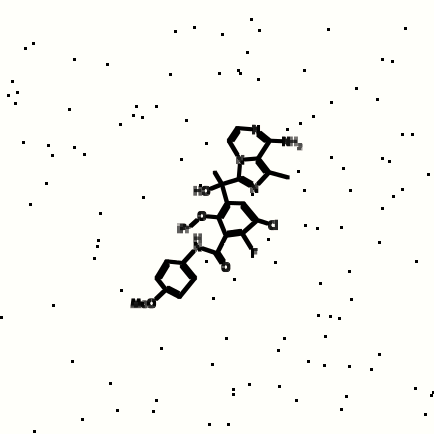 COc1ccc(NC(=O)c2c(F)c(Cl)cc(C(C)(O)c3nc(C)c4c(N)nccn34)c2OC(C)C)cc1